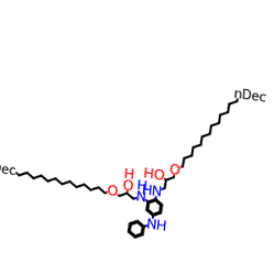 CCCCCCCCCCCCCCCCCCCCCCCOCC(O)CNc1ccc(Nc2ccccc2)cc1NCC(O)COCCCCCCCCCCCCCCCCCCCCCCC